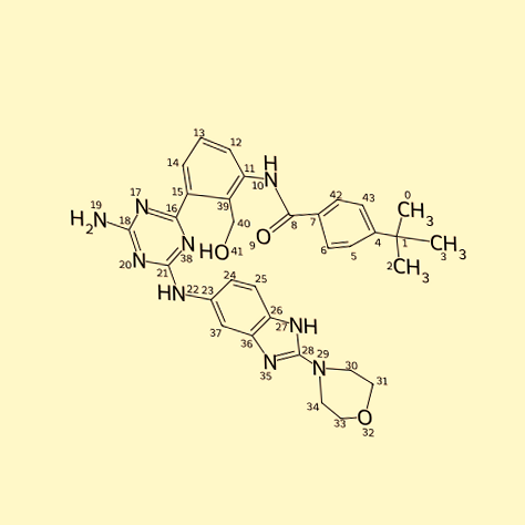 CC(C)(C)c1ccc(C(=O)Nc2cccc(-c3nc(N)nc(Nc4ccc5[nH]c(N6CCOCC6)nc5c4)n3)c2CO)cc1